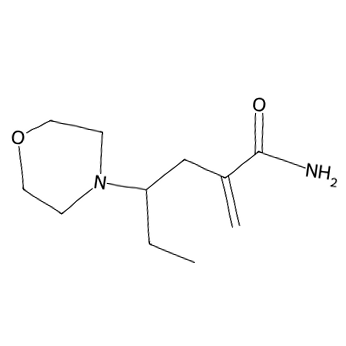 C=C(CC(CC)N1CCOCC1)C(N)=O